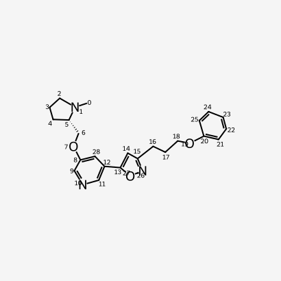 CN1CCC[C@H]1COc1cncc(-c2cc(CCCOc3ccccc3)no2)c1